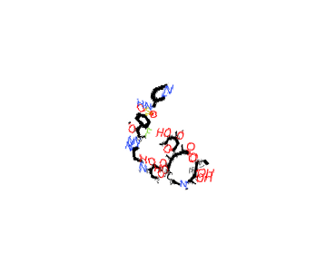 CC[C@H]1OC(=O)[C@H](C)[C@@H](C2C[C@@](C)(OC)[C@@H](O)[C@H](C)O2)[C@H](C)[C@@H](O[C@@H]2O[C@H](C)C[C@H](N(C)CCc3cn([C@H](CF)[C@H](OC)c4ccc(S(=O)(=O)NCc5cccnc5)cc4)nn3)[C@H]2O)[C@](C)(O)C[C@@H](C)CN(C)[C@H](C)[C@@H](O)[C@]1(C)O